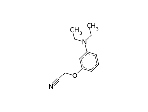 CCN(CC)c1cccc(OCC#N)c1